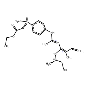 C=C/C(C)=C(\N=C(/N)Nc1ccc(S(C)(=O)=NC(=O)OCC)cc1)N[C@H](C)CO